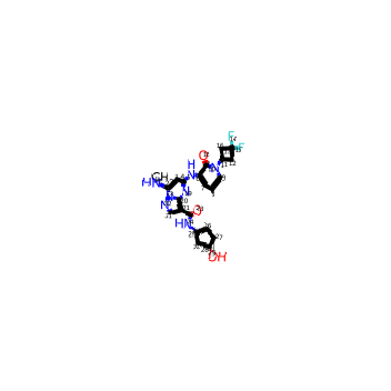 CNc1cc(Nc2cccn(C3CC(F)(F)C3)c2=O)nc2c(C(=O)N[C@H]3CC[C@H](O)C3)cnn12